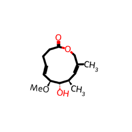 CO[C@H]1/C=C/CCC(=O)OC/C(C)=C\[C@@H](C)[C@@H]1O